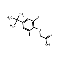 CC(C)(C)c1cc(F)c(OCC(=O)O)c(F)c1